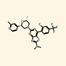 Cc1cc([C@@H]2CN(c3nc(-c4ccc(C(F)(F)F)cc4F)c4sc(N(C)C)nc4n3)C[C@@H](C)O2)ccn1